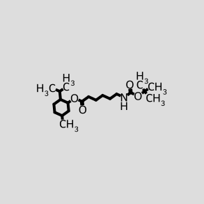 CC1CCC(C(C)C)C(OC(=O)CCCCCNC(=O)OC(C)(C)C)C1